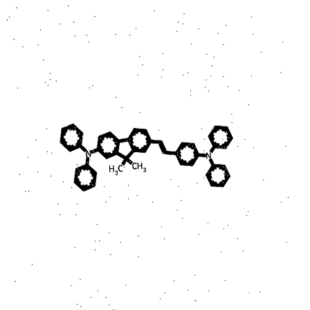 CC1(C)c2cc(C=Cc3ccc(N(c4ccccc4)c4ccccc4)cc3)ccc2-c2ccc(N(c3ccccc3)c3ccccc3)cc21